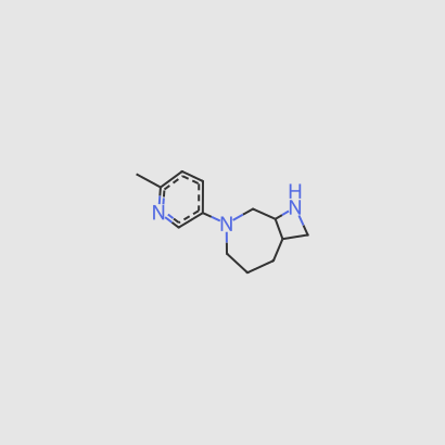 Cc1ccc(N2CCCC3CNC3C2)cn1